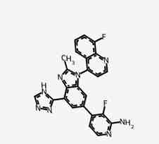 Cc1nc2c(-c3nnc[nH]3)cc(-c3ccnc(N)c3F)cc2n1-c1ccnc2c(F)cccc12